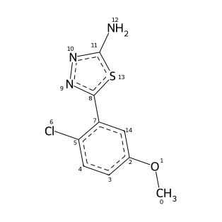 COc1ccc(Cl)c(-c2nnc(N)s2)c1